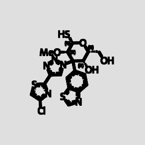 CO[C@H]1[C@@H](S)O[C@H](CO)[C@H](O)C1(c1ccc2ncsc2c1)n1cc(-c2nc(Cl)cs2)nn1